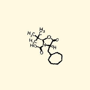 [2H][C@]1(CC2CCCCCC2)C(=O)O[C@H](C(C)(C)C)N1C(=O)O